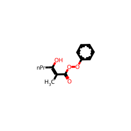 CCCC(O)=C(C)C(=O)OOc1ccccc1